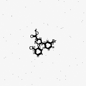 COC(=O)C1=NN(c2ccccc2Cl)C(c2cccc(Br)c2)C1